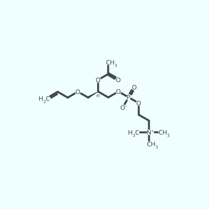 C=CCOC[C@H](COP(=O)([O-])OCC[N+](C)(C)C)OC(C)=O